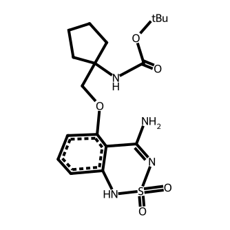 CC(C)(C)OC(=O)NC1(COc2cccc3c2C(N)=NS(=O)(=O)N3)CCCC1